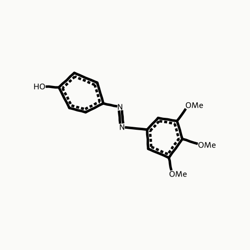 COc1cc(N=Nc2ccc(O)cc2)cc(OC)c1OC